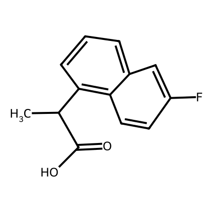 CC(C(=O)O)c1cccc2cc(F)ccc12